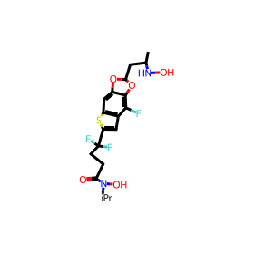 CC(CC1Oc2cc3sc(C(F)(F)CCC(=O)N(O)C(C)C)cc3c(F)c2O1)NO